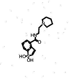 O=C(NCCN1CCCCC1)c1cccc2c1C=CS2(O)O